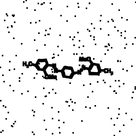 COc1cc(C)ccc1N=Nc1ccc(N=Nc2ccc(C)cc2OC)cc1